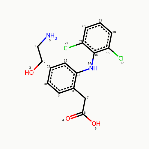 NCCO.O=C(O)Cc1ccccc1Nc1c(Cl)cccc1Cl